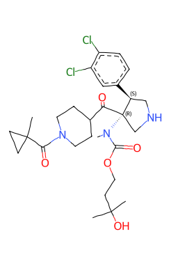 CN(C(=O)OCCC(C)(C)O)[C@@]1(C(=O)C2CCN(C(=O)C3(C)CC3)CC2)CNC[C@@H]1c1ccc(Cl)c(Cl)c1